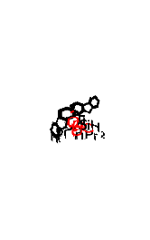 CCCC(=O)[O][Ti]([CH3])([CH3])(=[SiH2])([O]C(=O)CCC)([c]1cccc2c1Cc1ccccc1-2)[c]1cccc2c1Cc1ccccc1-2